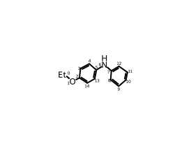 CCOc1ccc(Nc2[c]cccc2)cc1